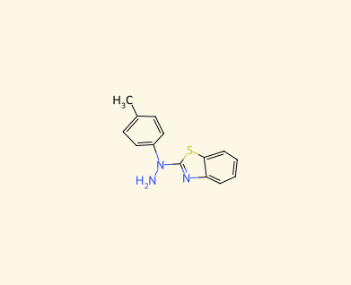 Cc1ccc(N(N)c2nc3ccccc3s2)cc1